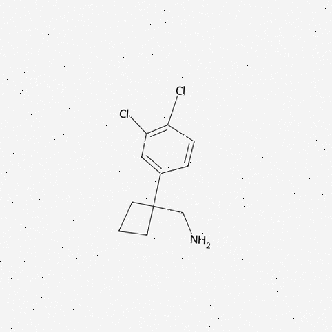 NCC1(c2ccc(Cl)c(Cl)c2)CCC1